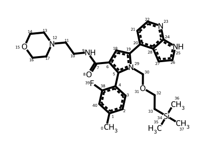 Cc1ccc(-c2c(C(=O)NCCN3CCOCC3)cc(-c3ccnc4[nH]ccc34)n2COCC[Si](C)(C)C)c(F)c1